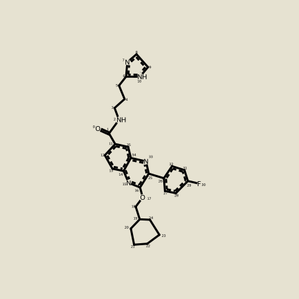 O=C(NCCCc1ncc[nH]1)c1ccc2nc(OCC3CCCCC3)c(-c3ccc(F)cc3)nc2c1